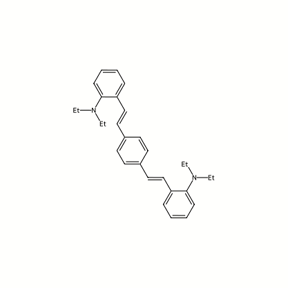 CCN(CC)c1ccccc1C=Cc1ccc(C=Cc2ccccc2N(CC)CC)cc1